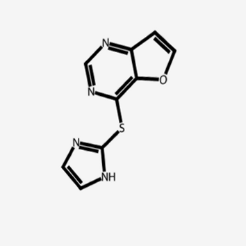 c1c[nH]c(Sc2ncnc3ccoc23)n1